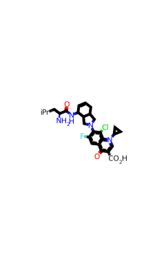 CC(C)C[C@H](N)C(=O)NC1C=CCC2CN(c3c(F)cc4c(=O)c(C(=O)O)cn(C5CC5)c4c3Cl)CC21